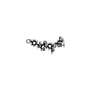 COc1cc(-n2cnc3cc(-c4ccc(Cl)cc4)sc3c2=O)ccc1OCC(O)CC(F)(F)F